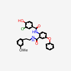 COc1cccc(CCNC(=O)c2cc(Oc3ccccc3)ccc2NC(=O)c2ccc(O)c(Cl)c2)c1